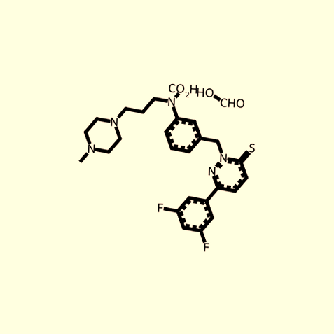 CN1CCN(CCCN(C(=O)O)c2cccc(Cn3nc(-c4cc(F)cc(F)c4)ccc3=S)c2)CC1.O=CO